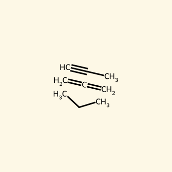 C#CC.C=C=C.CCC